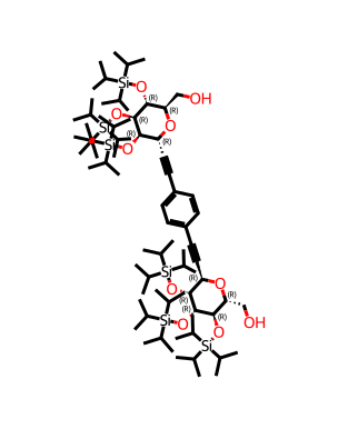 CC(C)[Si](O[C@@H]1[C@H](O[Si](C(C)C)(C(C)C)C(C)C)[C@@H](C#Cc2ccc(C#C[C@H]3O[C@H](CO)[C@@H](O[Si](C(C)C)(C(C)C)C(C)C)[C@H](O[Si](C(C)C)(C(C)C)C(C)C)[C@@H]3O[Si](C(C)C)(C(C)C)C(C)C)cc2)O[C@H](CO)[C@H]1O[Si](C(C)C)(C(C)C)C(C)C)(C(C)C)C(C)C